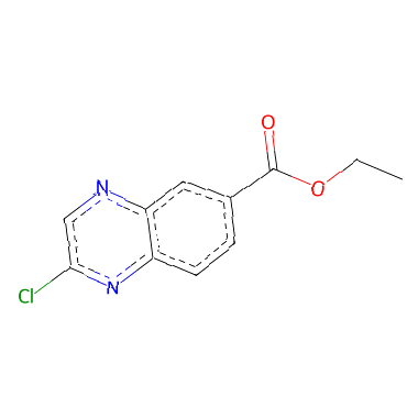 CCOC(=O)c1ccc2nc(Cl)cnc2c1